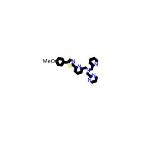 COc1ccc(-c2cnc(-c3cccc(CN(Cc4ccccn4)Cc4ncccn4)n3)s2)cc1